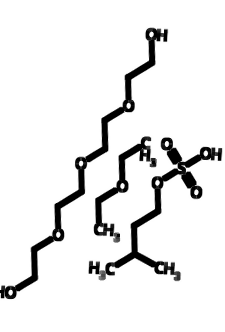 CC(C)CCOS(=O)(=O)O.CCOCC.OCCOCCOCCOCCO